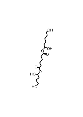 O=C(CCCCC(=O)OC(O)CCCCCO)OC(O)CCCO